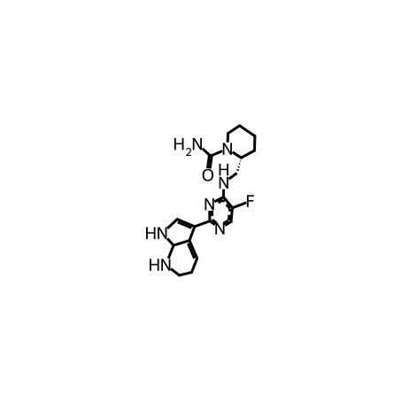 NC(=O)N1CCCC[C@@H]1CNc1nc(C2=CNC3NCCC=C23)ncc1F